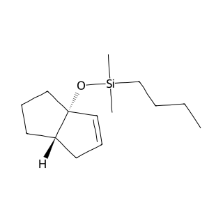 CCCC[Si](C)(C)O[C@]12C=CC[C@@H]1CCC2